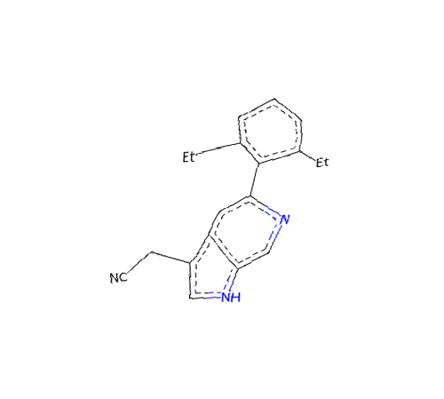 CCc1cccc(CC)c1-c1cc2c(CC#N)c[nH]c2cn1